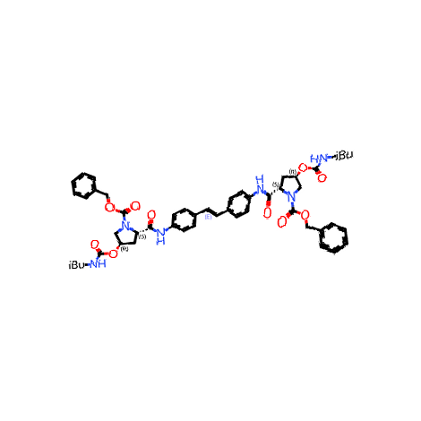 CCC(C)NC(=O)O[C@@H]1C[C@@H](C(=O)Nc2ccc(/C=C/c3ccc(NC(=O)[C@@H]4C[C@@H](OC(=O)NC(C)CC)CN4C(=O)OCc4ccccc4)cc3)cc2)N(C(=O)OCc2ccccc2)C1